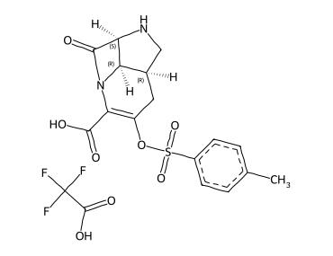 Cc1ccc(S(=O)(=O)OC2=C(C(=O)O)N3C(=O)[C@H]4NC[C@@H](C2)[C@H]43)cc1.O=C(O)C(F)(F)F